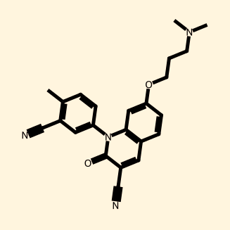 Cc1ccc(-n2c(=O)c(C#N)cc3ccc(OCCCN(C)C)cc32)cc1C#N